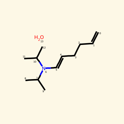 C=CCCC=CN(C(C)C)C(C)C.O